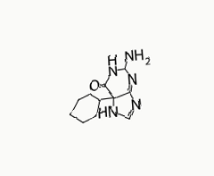 NC1N=C2N=CNC2(C2CCCCC2)C(=O)N1